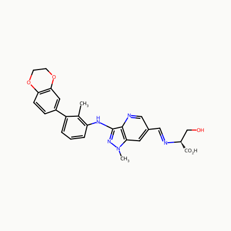 Cc1c(Nc2nn(C)c3cc(C=N[C@@H](CO)C(=O)O)cnc23)cccc1-c1ccc2c(c1)OCCO2